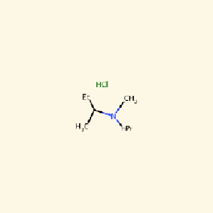 CCCN(C)C(C)CC.Cl